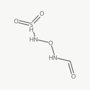 O=CNON[SH](=O)=O